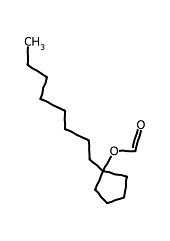 CCCCCCCCC1(OC=O)CCCC1